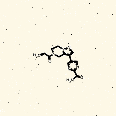 C=CC(=O)N1CCn2ncc(-c3cnc(C(N)=O)nc3)c2C1